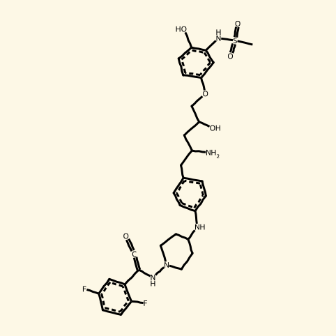 CS(=O)(=O)Nc1cc(OCC(O)CC(N)Cc2ccc(NC3CCN(NC(=C=O)c4cc(F)ccc4F)CC3)cc2)ccc1O